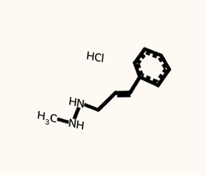 CNNC/C=C/c1ccccc1.Cl